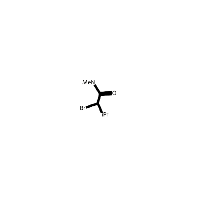 CNC(=O)C(Br)C(C)C